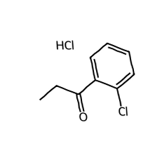 CCC(=O)c1ccccc1Cl.Cl